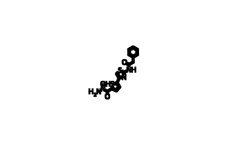 NN(O)C(=O)c1ccc(-c2csc(NC(=O)Cc3ccccc3)n2)s1